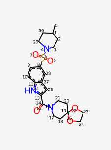 CC1CCN(S(=O)(=O)c2ccc3[nH]c(C(=O)N4CCC5(CC4)OCCO5)cc3c2)CC1